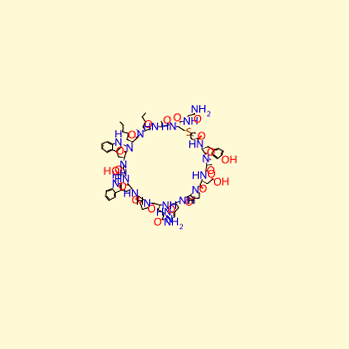 CCCCC[C@H]1C(=O)N(C)[C@@H](CCCC)C(=O)N[C@@H](C)C(=O)N[C@H](C(=O)NCC(N)=O)CSCC(=O)N[C@@H](Cc2ccc(O)cc2)C(=O)N(C)[C@@H](C)C(=O)N[C@@H](CC(=O)O)C(=O)N2CCC[C@H]2C(=O)N[C@@H](Cc2cnc[nH]2)C(=O)N[C@@H](CCC(N)=O)C(=O)N2CCC[C@H]2C(=O)N[C@@H](Cc2c[nH]c3ccccc23)C(=O)N[C@@H](CO)C(=O)N[C@@H](Cc2c[nH]c3ccccc23)C(=O)N1C